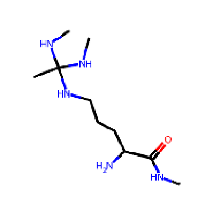 CNC(=O)C(N)CCCNC(C)(NC)NC